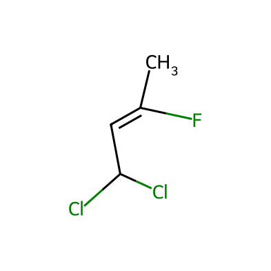 CC(F)=CC(Cl)Cl